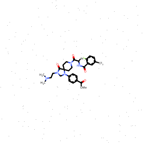 COC(=O)c1ccc(N2CN(CCN(C)C)C(=O)C23CCN(C(=O)C(NC(=O)c2cc(C(F)(F)F)ccc2F)C(C)C)CC3)cc1